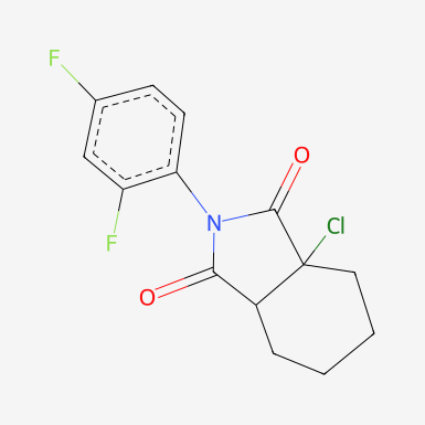 O=C1C2CCCCC2(Cl)C(=O)N1c1ccc(F)cc1F